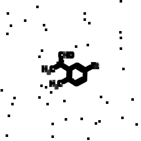 CCc1ccc(C)c(C(C)C=O)c1